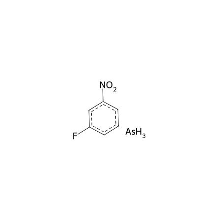 O=[N+]([O-])c1cccc(F)c1.[AsH3]